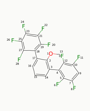 COc1c(-c2c(F)c(F)cc(F)c2F)cccc1-c1c(F)c(F)c(F)c(F)c1F